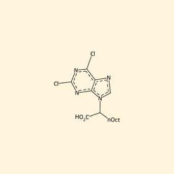 CCCCCCCCC(C(=O)O)n1cnc2c(Cl)nc(Cl)nc21